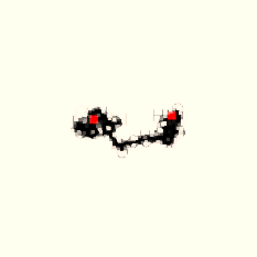 COc1cc(CCN(C)C(=O)CCOCCOCCNc2cccc3c2C(=O)N(C2CCC(=O)NC2=O)C3=O)c(C)cc1Nc1ncc(Cl)c(Nc2ccccc2S(=O)(=O)C(C)C)n1